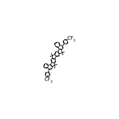 CC1(C)c2cc3c(cc2-c2cc4c(cc21)-c1c(cc(-c2ccc(C(F)(F)F)cc2)c2ccccc12)C4(C)C)C(C)(C)c1cc(-c2ccc(C(F)(F)F)cc2)c2ccccc2c1-3